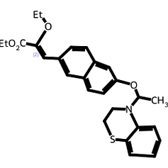 CCOC(=O)/C(=C/c1ccc2cc(OC(C)N3CCSc4ccccc43)ccc2c1)OCC